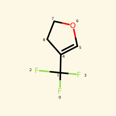 FC(F)(F)C1=COCC1